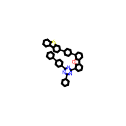 c1ccc(-c2ccc(-c3nc(-c4ccccc4)nc(-c4cccc5c4oc4c(-c6ccc(-c7ccc8c(c7)sc7ccccc78)cc6)cccc45)n3)cc2)cc1